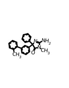 Cc1ccccc1-c1cccc(C2(c3ccccc3)N=C(N)N(C)C2=O)c1